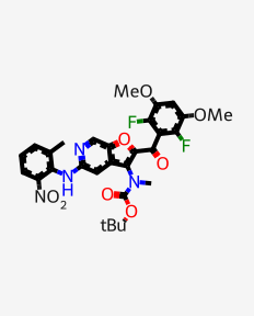 COc1cc(OC)c(F)c(C(=O)c2oc3cnc(Nc4c(C)cccc4[N+](=O)[O-])cc3c2N(C)C(=O)OC(C)(C)C)c1F